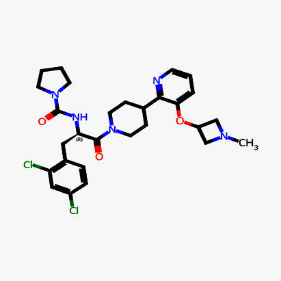 CN1CC(Oc2cccnc2C2CCN(C(=O)[C@@H](Cc3ccc(Cl)cc3Cl)NC(=O)N3CCCC3)CC2)C1